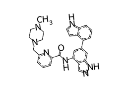 CN1CCN(Cc2cccc(C(=O)Nc3cc(-c4cccc5[nH]ccc45)cc4[nH]ncc34)n2)CC1